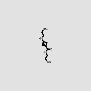 CC(C)(C)CCNC(=O)C12CC(NCCC(C)(C)C)(C1)C2